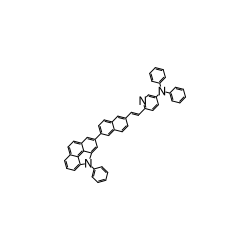 C(=C\c1ccc(N(c2ccccc2)c2ccccc2)cn1)/c1ccc2cc(-c3cc4ccc5cccc6c5c4c(c3)n6-c3ccccc3)ccc2c1